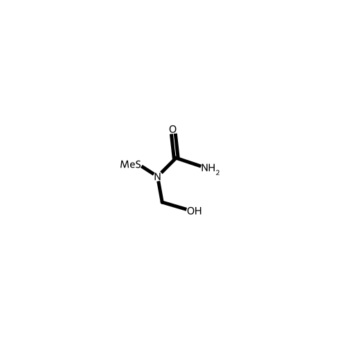 CSN(CO)C(N)=O